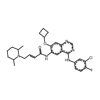 CC1CCCC(C)N1CC=CC(=O)Nc1cc2c(Nc3ccc(F)c(Cl)c3)ncnc2cc1OC1CCC1